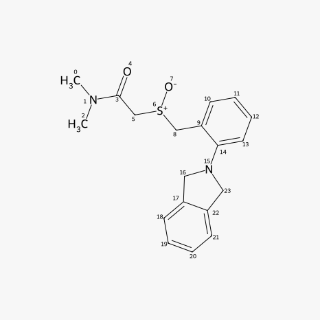 CN(C)C(=O)C[S+]([O-])Cc1ccccc1N1Cc2ccccc2C1